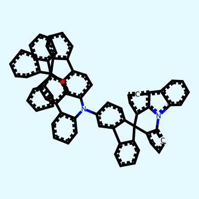 c1ccc(-c2ccc(-c3ccccc3N(c3ccc4c(c3)-c3ccccc3C43c4ccccc4-n4c5ccccc5c5cccc3c54)c3ccc4c(c3)C(c3ccccc3)(c3ccccc3)c3ccccc3-4)cc2)cc1